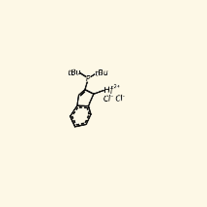 CC(C)(C)P(C1=Cc2ccccc2[CH]1[Hf+2])C(C)(C)C.[Cl-].[Cl-]